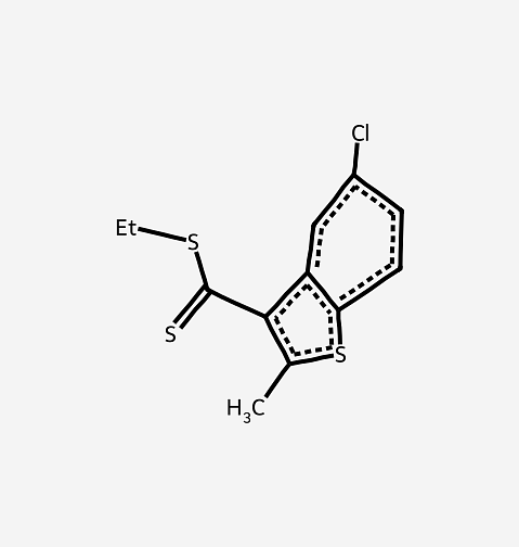 CCSC(=S)c1c(C)sc2ccc(Cl)cc12